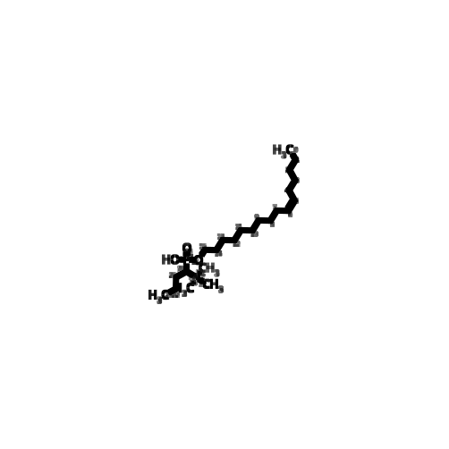 CCCCC/C=C\CCCCCCCCCOP(=O)(O)C(CCC)[N+](C)(C)C